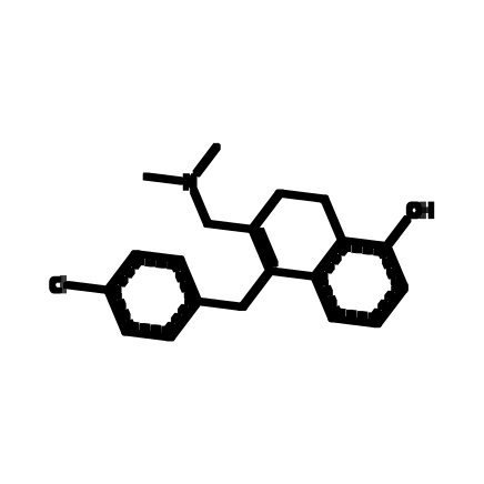 CN(C)CC1=C(Cc2ccc(Cl)cc2)c2cccc(O)c2CC1